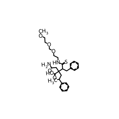 COCCOCOCCNC(=S)C(Cc1ccccc1)C(CC(N)=O)(CC(C)c1ccccc1)C(=O)O